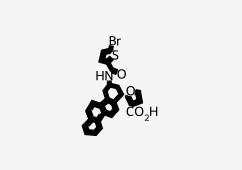 O=C(NC1CCc2ccc3c(ccc4ccccc43)c2C1)c1ccc(Br)s1.O=C(O)c1ccoc1